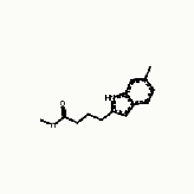 COC(=O)CCCc1cc2ccc(C)cc2[nH]1